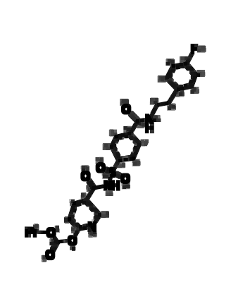 CC(C)OC(=O)Oc1ccc(C(=O)NS(=O)(=O)c2ccc(C(=O)NCCc3ccc(F)cc3)cc2)cn1